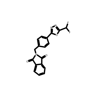 O=C1c2ccccc2C(=O)N1Cc1ccc(-c2nnc(C(F)F)o2)cc1